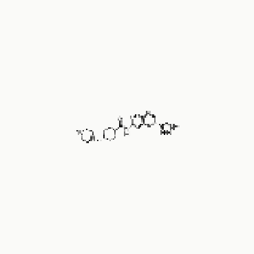 CN1CCN(C[C@H]2CC[C@H](C(=O)Nc3cc4cc(-c5cn(C)nn5)cnc4cn3)CC2)CC1